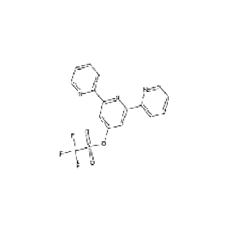 O=S(=O)(Oc1cc(-c2ccccn2)nc(-c2ccccn2)c1)C(F)(F)F